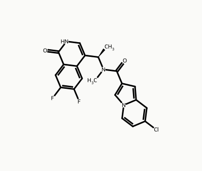 C[C@H](c1c[nH]c(=O)c2cc(F)c(F)cc12)N(C)C(=O)c1cc2cc(Cl)ccn2c1